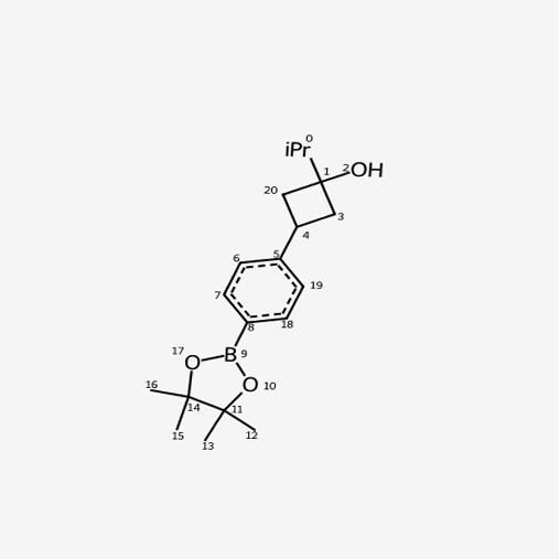 CC(C)C1(O)CC(c2ccc(B3OC(C)(C)C(C)(C)O3)cc2)C1